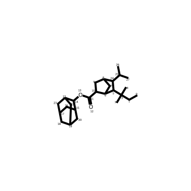 CCC(C)(C)C1C2CC(CC2C(=O)OC2C3CC4CC(C3)CC2C4)C1C(C)C